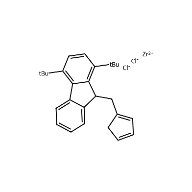 CC(C)(C)c1ccc(C(C)(C)C)c2c1-c1ccccc1C2CC1=CC=CC1.[Cl-].[Cl-].[Zr+2]